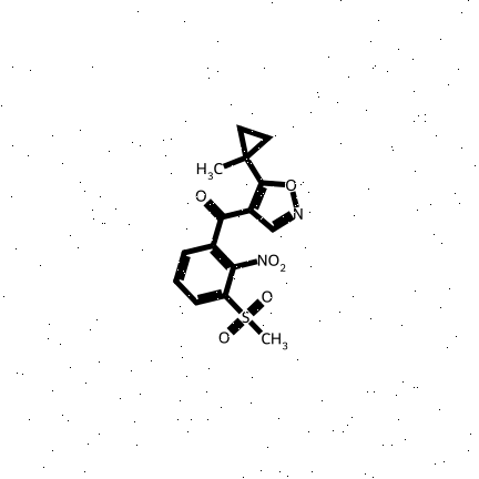 CC1(c2oncc2C(=O)c2cccc(S(C)(=O)=O)c2[N+](=O)[O-])CC1